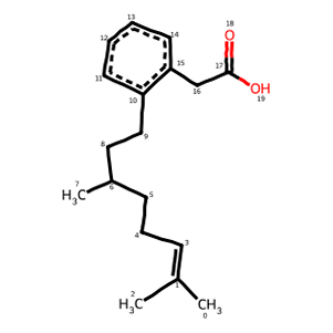 CC(C)=CCCC(C)CCc1ccccc1CC(=O)O